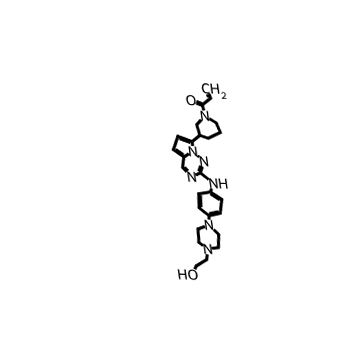 C=CC(=O)N1CCCC(c2ccc3cnc(Nc4ccc(N5CCN(CCO)CC5)cc4)nn23)C1